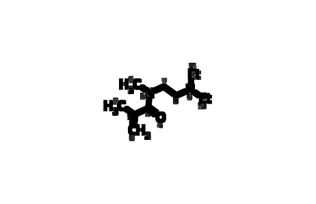 C=C(C)C(=O)N(C)CCN(CC)CC